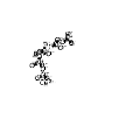 O=[N+]([O-])[O-].O=[N+]([O-])[O-].O=[N+]([O-])[O-].O=[N+]([O-])[O-].O=[N+]([O-])[O-].[B+3].[Co+2]